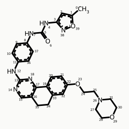 Cc1cc(NC(=O)Nc2ccc(Nc3ncc4c(n3)-c3ccc(OCCN5CCOCC5)cc3CC4)cc2)no1